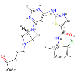 COC(=O)CCCN1C[C@H]2C1CN2c1cc(Nc2ncc(C(=O)Nc3c(C)cccc3Cl)s2)nc(C)n1